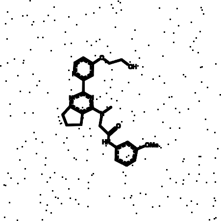 COc1cccc(NC(=O)CN(C)c2nc(-c3cc(OCCO)ccn3)nc3c2CCC3)c1